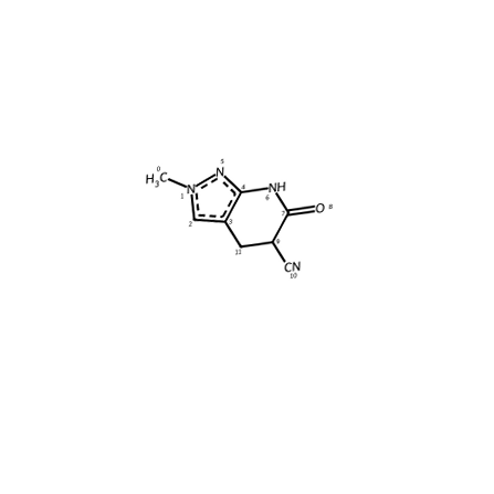 Cn1cc2c(n1)NC(=O)C(C#N)C2